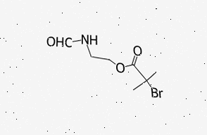 CC(C)(Br)C(=O)OCCNC=O